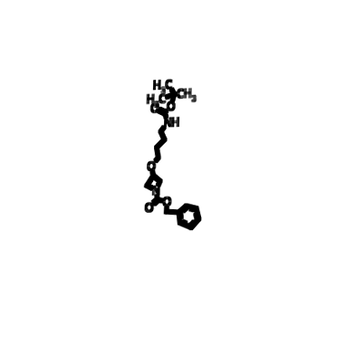 CC(C)(C)OC(=O)NCCCCOC1CN(C(=O)OCc2ccccc2)C1